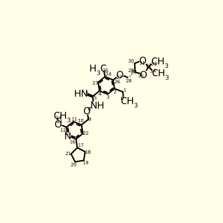 CCc1cc(C(=N)NOCc2cc(OC)nc(C3CCCC3)c2)cc(C)c1OC[C@@H]1COC(C)(C)O1